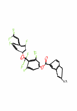 CCC1Cc2ccc(C(=O)Oc3cc(F)c(C(F)(F)Oc4cc(F)c(C=C(F)F)c(F)c4)c(F)c3)cc2C1